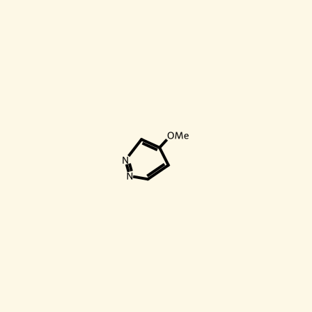 COc1ccnnc1